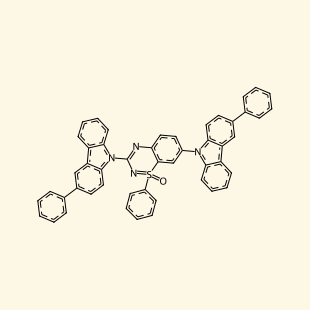 O=S1(c2ccccc2)=NC(n2c3ccccc3c3cc(-c4ccccc4)ccc32)=Nc2ccc(-n3c4ccccc4c4cc(-c5ccccc5)ccc43)cc21